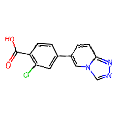 O=C(O)c1ccc(-c2ccc3nncn3c2)cc1Cl